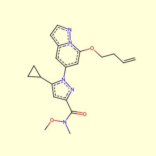 C=CCCOc1cc(-n2nc(C(=O)N(C)OC)cc2C2CC2)cc2ccnn12